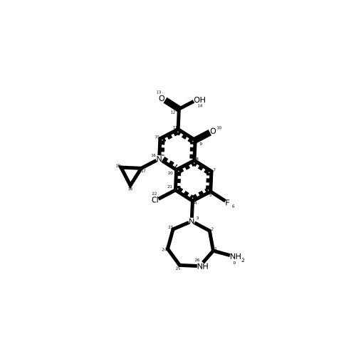 NC1CN(c2c(F)cc3c(=O)c(C(=O)O)cn(C4CC4)c3c2Cl)CCCN1